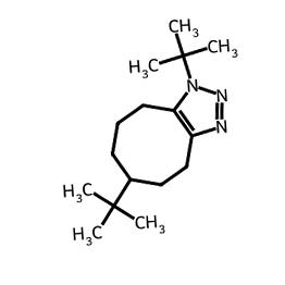 CC(C)(C)C1CCCc2c(nnn2C(C)(C)C)CC1